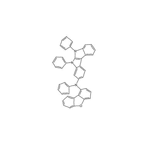 c1ccc(N(c2ccc3c4c5ccccc5n(-c5ccccc5)c4n(-c4ccccc4)c3c2)c2cccc3oc4ccccc4c23)cc1